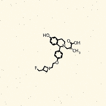 C[C@H](CN1CCc2cc(O)ccc2C1c1ccc(OCCN2CC(CF)C2)cc1)C(=O)O